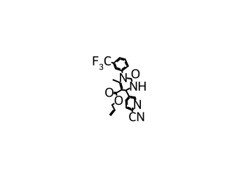 C=CCOC(=O)C1=C(C)N(c2cccc(C(F)(F)F)c2)C(=O)NC1c1ccc(C#N)nc1